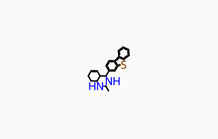 CC1NC2CCC=CC2C(c2ccc3c(c2)sc2ccccc23)N1